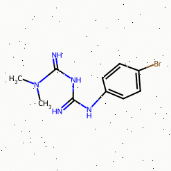 CN(C)C(=N)NC(=N)Nc1ccc(Br)cc1